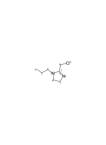 CCCN1CCN=C1CCl